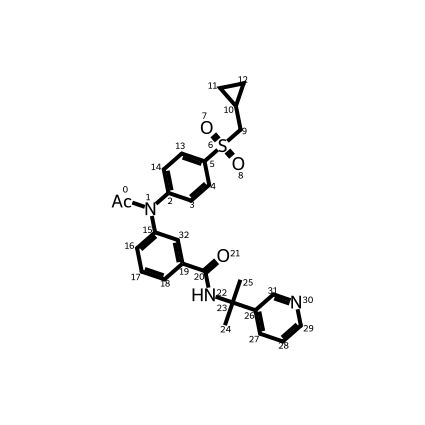 CC(=O)N(c1ccc(S(=O)(=O)CC2CC2)cc1)c1cccc(C(=O)NC(C)(C)c2cccnc2)c1